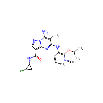 C=N/C(OC(C)C)=C(\C=C/C)Nc1nc2c(C(=O)N[C@H]3C[C@H]3F)cnn2c(N)c1C